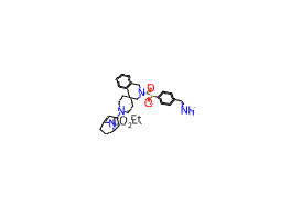 CCOC(=O)N1C2CCC1CC(N1CCC3(CC1)CN(S(=O)(=O)c1ccc(C=N)cc1)Cc1ccccc13)C2